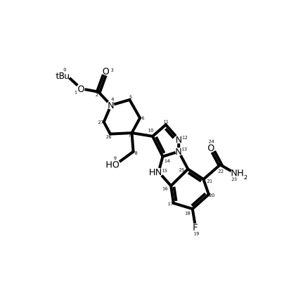 CC(C)(C)OC(=O)N1CCC(CO)(c2cnn3c2[nH]c2cc(F)cc(C(N)=O)c23)CC1